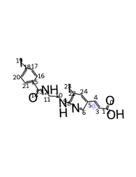 O=C(O)/C=C/c1cnc(NCCNC(=O)c2ccc(I)cc2)c(I)c1